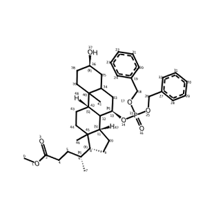 COC(=O)CC[C@@H](C)[C@H]1CC[C@H]2C3[C@H](OP(=O)(OCc4ccccc4)OCc4ccccc4)CC4C[C@H](O)CCC4(C)[C@H]3CCC12C